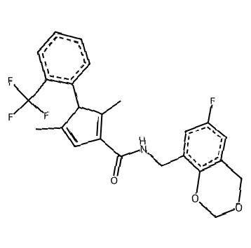 CC1=CC(C(=O)NCc2cc(F)cc3c2OCOC3)=C(C)C1c1ccccc1C(F)(F)F